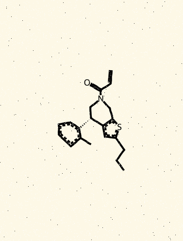 C=CC(=O)N1Cc2sc(CCC)cc2[C@H](c2ccccc2C)C1